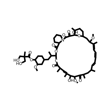 COC1CC2CCC(C)C(O)(O2)C(=O)C(=O)N2CCCCC2C(=O)OC(C(C)CC2CCC(OC(=O)C(C)(CO)CO)C(OC)C2)CC(=O)C(C)/C=C(\C)C(O)C(OC)C(=O)C(C)CC(C)/C=C/C=C/C=C/1C